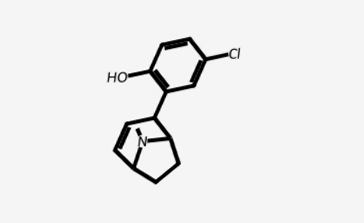 CN1C2C=CC(c3cc(Cl)ccc3O)C1CC2